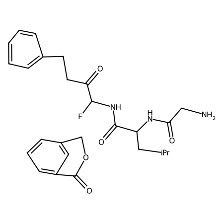 CC(C)CC(NC(=O)CN)C(=O)NC(F)C(=O)CCc1ccccc1.O=C1OCc2cccc1c2